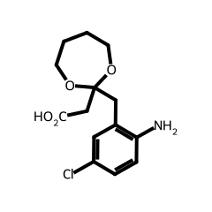 Nc1ccc(Cl)cc1CC1(CC(=O)O)OCCCCO1